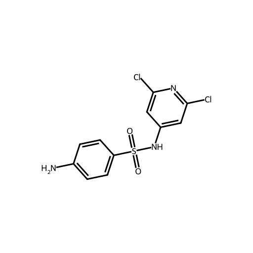 Nc1ccc(S(=O)(=O)Nc2cc(Cl)nc(Cl)c2)cc1